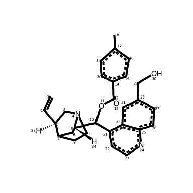 C=C[C@H]1CN2CCC1C[C@H]2C(OC(=O)c1ccc(C)cc1)c1ccnc2ccc(CO)cc12